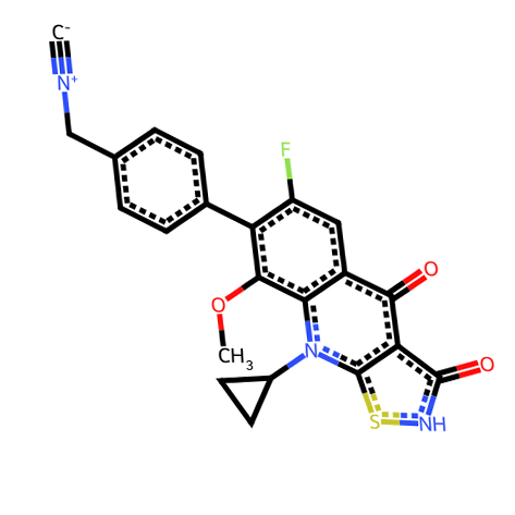 [C-]#[N+]Cc1ccc(-c2c(F)cc3c(=O)c4c(=O)[nH]sc4n(C4CC4)c3c2OC)cc1